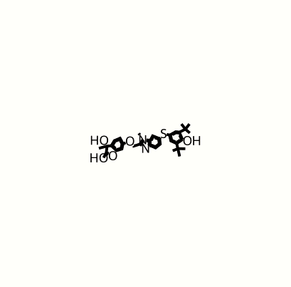 Cn1c(COc2ccc(C(C)(O)C(=O)O)cc2)nc2ccc(Sc3cc(C(C)(C)C)c(O)c(C(C)(C)C)c3)cc21